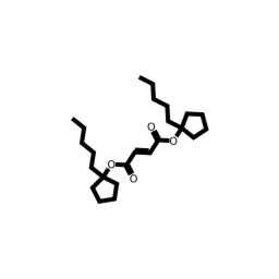 CCCCCC1(OC(=O)/C=C/C(=O)OC2(CCCCC)CCCC2)CCCC1